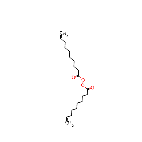 C=CCCCCCCCC(=O)OOC(=O)CCCCCCCC=C